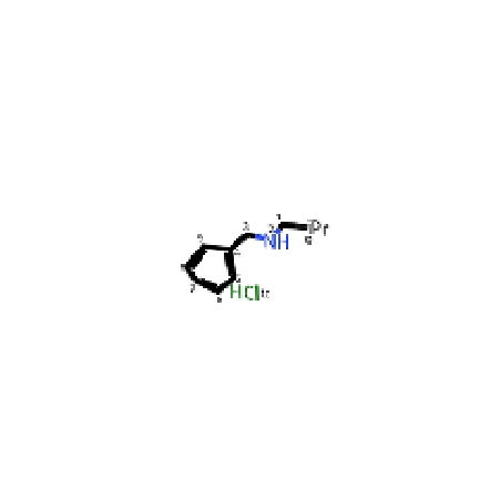 CC(C)CNCc1ccccc1.Cl